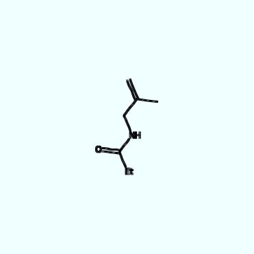 C=C(C)CNC(=O)CC